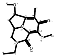 CCN1CC2CC(OC)c3c(C)c(=O)c(OC)c(n32)C1=O